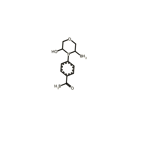 BC(=O)c1ccc(N2C(B)COCC2O)cc1